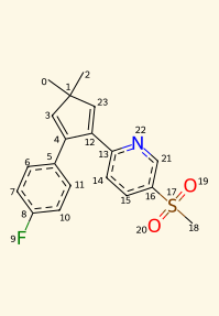 CC1(C)C=C(c2ccc(F)cc2)C(c2ccc(S(C)(=O)=O)cn2)=C1